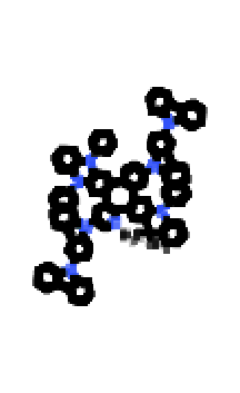 CC1(C)c2ccccc2N(c2ccccc2)c2cc3c4cc(-n5c6ccccc6c6cc(-n7c8ccccc8c8ccccc87)ccc65)ccc4c4cc5c(cc4c4cc(-n6c7ccccc7c7cc(-n8c9ccccc9c9ccccc98)ccc76)cnc4c3cc21)n(-c1ccccc1)c1ccccc1n5-c1ccccc1